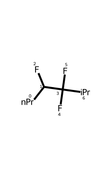 CCCC(F)C(F)(F)C(C)C